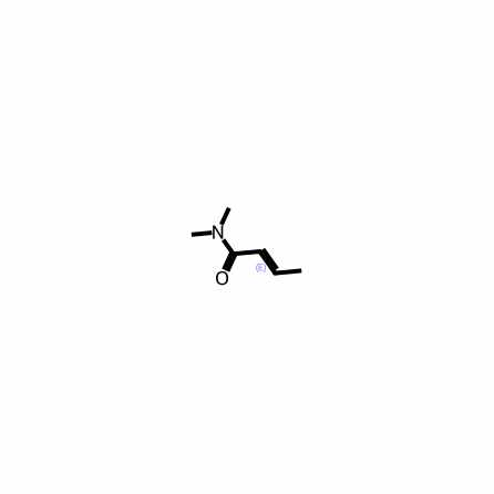 C/C=C/C(=O)N(C)C